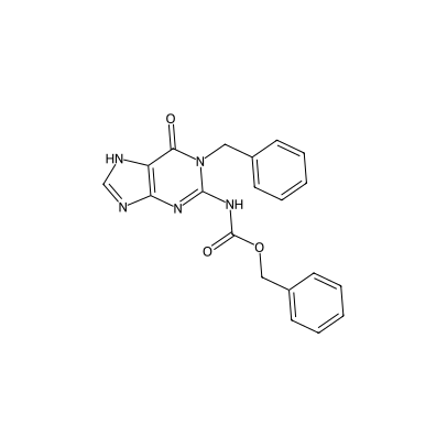 O=C(Nc1nc2nc[nH]c2c(=O)n1Cc1ccccc1)OCc1ccccc1